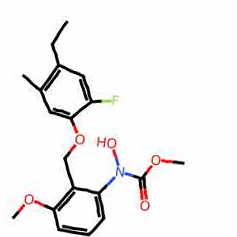 CCc1cc(F)c(OCc2c(OC)cccc2N(O)C(=O)OC)cc1C